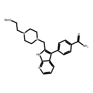 COCCN1CCN(Cc2[nH]c3ncccc3c2-c2ccc(C(N)=O)cc2)CC1